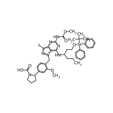 CCCC(CCO[Si](c1ccccc1)(c1ccccc1)C(C)(C)C)Nc1nc(NC(=O)OC)nc2c(I)nn(Cc3ccc(C4CCCN4C(=O)O)cc3OC)c12